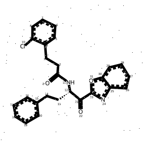 O=C(CCc1ccccc1Cl)N[C@@H](CCc1ccccc1)C(=O)c1nc2ccccc2o1